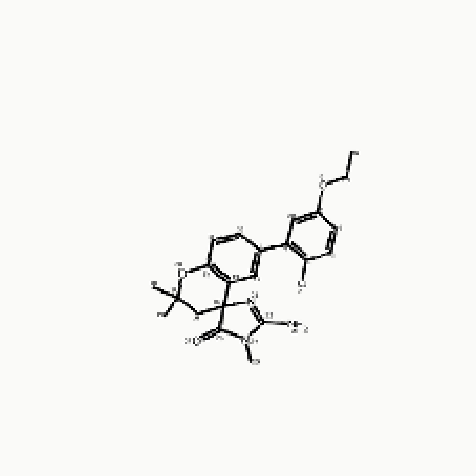 CCOc1ccc(Cl)c(-c2ccc3c(c2)C2(CC(C)(C)O3)N=C(N)N(C)C2=O)c1